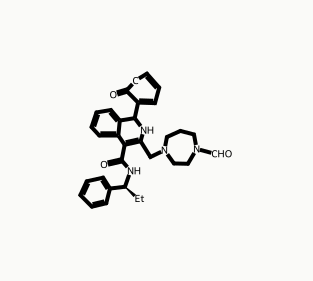 CC[C@H](NC(=O)C1=C(CN2CCCN(C=O)CC2)NC(C2=CC=CCC2=O)c2ccccc21)c1ccccc1